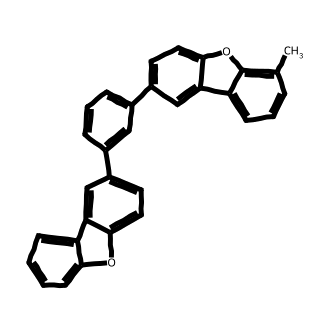 Cc1cccc2c1oc1ccc(-c3cccc(-c4ccc5oc6ccccc6c5c4)c3)cc12